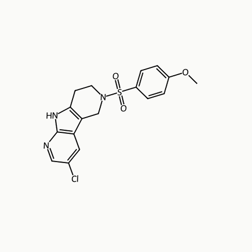 COc1ccc(S(=O)(=O)N2CCc3[nH]c4ncc(Cl)cc4c3C2)cc1